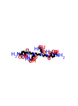 NC(=O)c1ccc(C(=O)NCCCN(CCCCN(CCCNC(=O)c2ccc(C(N)=O)n(O)c2=O)C(=O)CC(=O)NO)C(=O)CC(=O)NO)c(=O)n1O